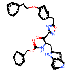 O=C(NC(Cc1cc2cnccc2[nH]1)C(=O)c1noc(Cc2ccc(OCCc3ccccc3)cc2)n1)OCc1ccccc1